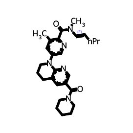 CCC/C=C/N(C)C(=O)c1ncc(N2CCCc3cc(C(=O)N4CCCCC4)cnc32)cc1C